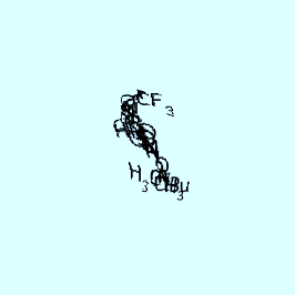 CC(C)(C)N1CC(OCCn2ccc(S(=O)(=O)NC(=O)c3ccc(-n4ccc(OCCC5(C(F)(F)F)CC5)n4)nc3Cl)n2)CC1(C)C